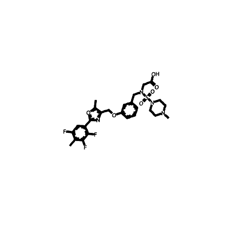 Cc1oc(-c2cc(F)c(C)c(F)c2F)nc1COc1cccc(CN(CC(=O)O)S(=O)(=O)N2CCN(C)CC2)c1